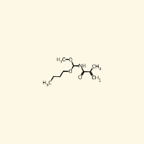 C=C(C)C(=O)NC(OC)OCCCC